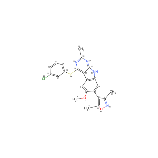 COc1cc2c(cc1-c1c(C)noc1C)[nH]c1nc(C)nc(Sc3cccc(Cl)c3)c12